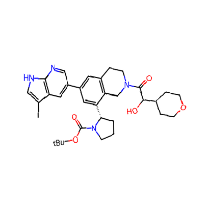 Cc1c[nH]c2ncc(-c3cc4c(c([C@@H]5CCCN5C(=O)OC(C)(C)C)c3)CN(C(=O)C(O)C3CCOCC3)CC4)cc12